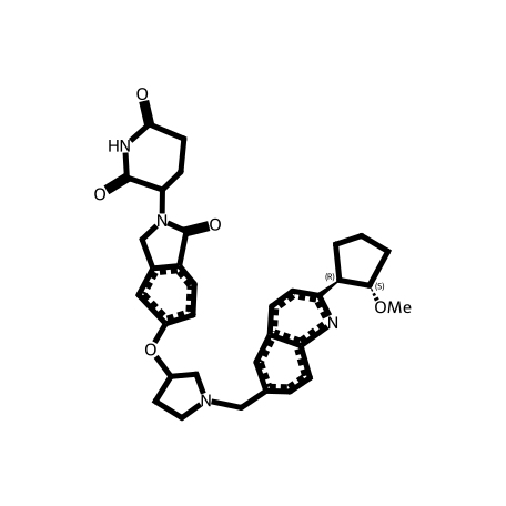 CO[C@H]1CCC[C@@H]1c1ccc2cc(CN3CCC(Oc4ccc5c(c4)CN(C4CCC(=O)NC4=O)C5=O)C3)ccc2n1